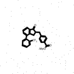 COC(=O)c1ccc(CC2Cc3c(cccc3-c3ccccc3C(F)(F)F)C2=O)cc1